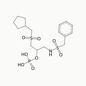 O=P(O)(O)OC(CNS(=O)(=O)Cc1ccccc1)CS(=O)(=O)CC1CCCC1